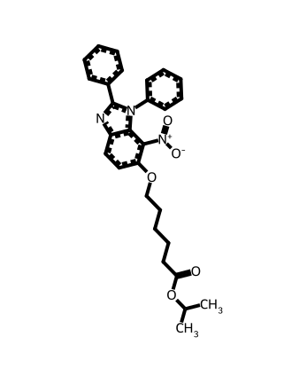 CC(C)OC(=O)CCCCCOc1ccc2nc(-c3ccccc3)n(-c3ccccc3)c2c1[N+](=O)[O-]